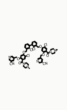 CN1CCN(C(=O)c2cc(Cl)c(OCc3cccc(-c4cccc(COc5cc(OCc6cncc(C#N)c6)c(C(=O)N6CCN(C)CC6)cc5Cl)c4Cl)c3Cl)cc2OCc2cncc(C#N)c2)CC1